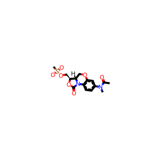 CC(=O)N(C)c1ccc2c(c1)OC[C@H]1[C@H](COS(C)(=O)=O)OC(=O)N21